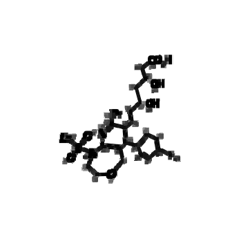 CCS(=O)(=O)N1CCOCc2c1nc(C(C)C)c(/C=C/[C@@H](O)C[C@@H](O)CC(=O)O)c2-c1ccc(F)cc1